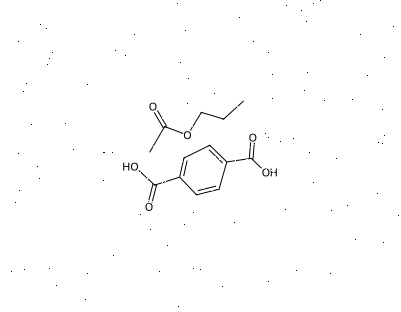 CCCOC(C)=O.O=C(O)c1ccc(C(=O)O)cc1